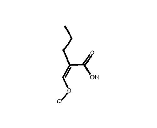 CCCC(=COCl)C(=O)O